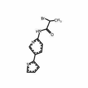 CC(Br)C(=O)Nc1ccc(-c2cccs2)cn1